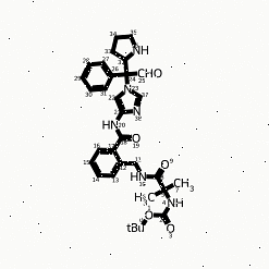 CC(C)(C)OC(=O)NC(C)(C)C(=O)NCc1ccccc1C(=O)Nc1cn(C(C=O)(c2ccccc2)C2CCCN2)cn1